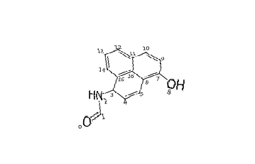 O=CNC1C=Cc2c(O)ccc3cccc1c23